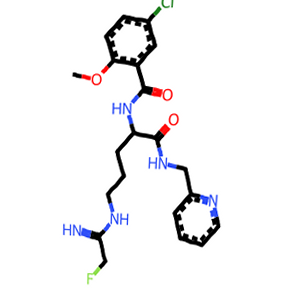 COc1ccc(Cl)cc1C(=O)NC(CCCNC(=N)CF)C(=O)NCc1ccccn1